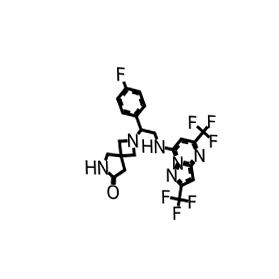 O=C1CC2(CN1)CN(C(CNc1cc(C(F)(F)F)nc3cc(C(F)(F)F)nn13)c1ccc(F)cc1)C2